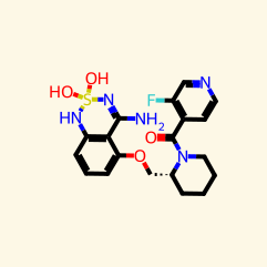 NC1=NS(O)(O)Nc2cccc(OC[C@H]3CCCCN3C(=O)c3ccncc3F)c21